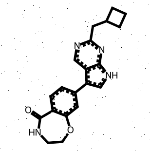 O=C1NCCOc2cc(-c3c[nH]c4nc(CC5CCC5)ncc34)ccc21